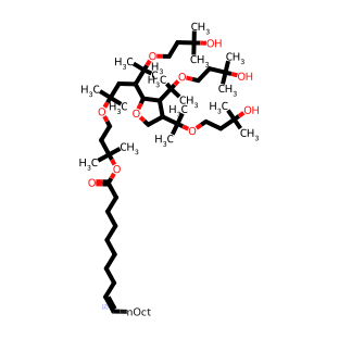 CCCCCCCC/C=C\CCCCCCCC(=O)OC(C)(C)CCOC(C)(C)CC(C1OCC(C(C)(C)OCCC(C)(C)O)C1C(C)(C)OCCC(C)(C)O)C(C)(C)OCCC(C)(C)O